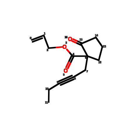 C=CCOC(=O)C1(CC#CCC)CCCC1=O